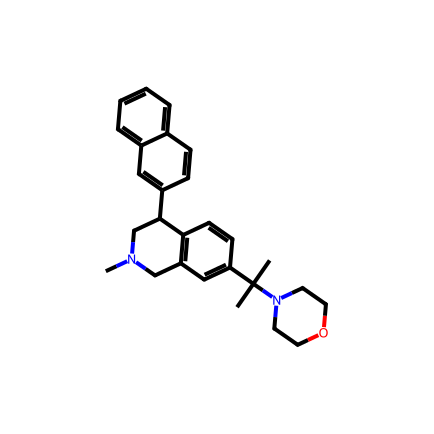 CN1Cc2cc(C(C)(C)N3CCOCC3)ccc2C(c2ccc3ccccc3c2)C1